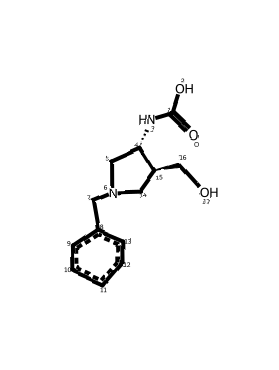 O=C(O)N[C@H]1CN(Cc2ccccc2)C[C@@H]1CO